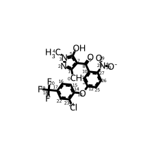 Cc1nn(C)c(O)c1C(=O)c1cc(Oc2ccc(C(F)(F)F)cc2Cl)ccc1[N+](=O)[O-]